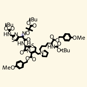 COc1ccc(COC(=O)C2=C(C[N+]3(CCCC[C@H](NC(=O)OC(C)(C)C)C(=O)OCc4ccc(OC)cc4)CCCC3)CS[C@@H]3[C@H](NC(=O)/C(=N\OC(C)(C)C(=O)OC(C)(C)C)c4csc(NC(=O)OC(C)(C)C)n4)C(=O)N23)cc1